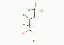 CC(C)(C(O)CCl)C(Cl)CC(Cl)(Cl)Cl